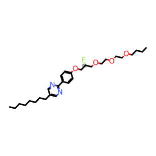 CCCCCCCCc1cnc(-c2ccc(OC[C@H](F)COCCOCCOCCCC)cc2)nc1